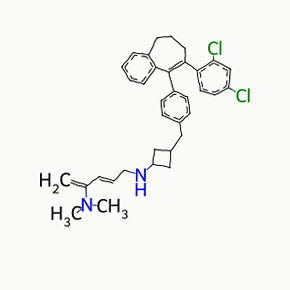 C=C(/C=C/CNC1CC(Cc2ccc(C3=C(c4ccc(Cl)cc4Cl)CCCc4ccccc43)cc2)C1)N(C)C